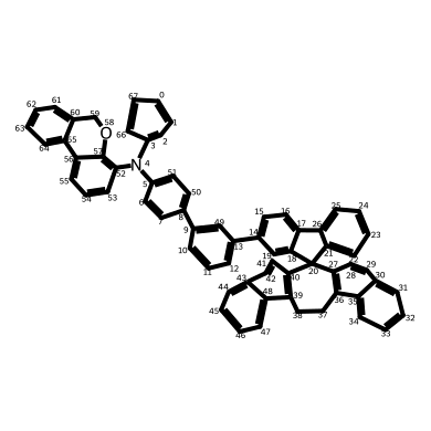 c1ccc(N(c2ccc(-c3cccc(-c4ccc5c(c4)C4(c6ccccc6-5)c5ccc6ccccc6c5CCc5c4ccc4ccccc54)c3)cc2)c2cccc3c2OCc2ccccc2-3)cc1